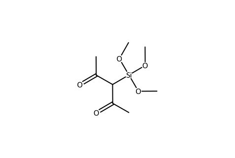 CO[Si](OC)(OC)C(C(C)=O)C(C)=O